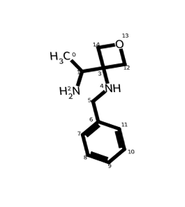 CC(N)C1(NCc2ccccc2)COC1